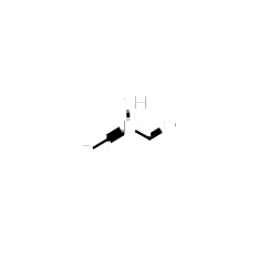 O=CP(S)#CF